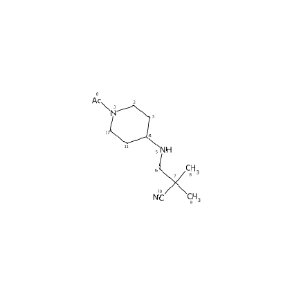 CC(=O)N1CCC(NCC(C)(C)C#N)CC1